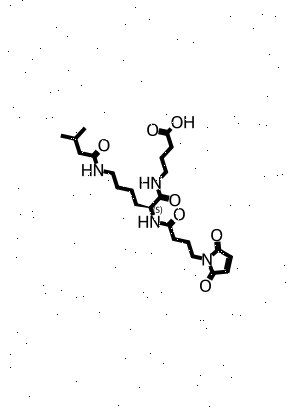 CC(C)CC(=O)NCCCC[C@H](NC(=O)CCCN1C(=O)C=CC1=O)C(=O)NCCCC(=O)O